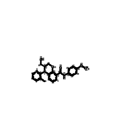 Cc1cccnc1N1c2cccc(C(=O)Nc3ccc(OC(F)(F)F)cc3)c2OC[C@@H]1CO